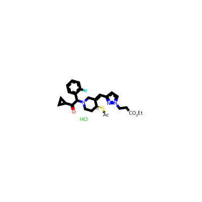 CCOC(=O)CCn1ccc(C=C2CN(C(C(=O)C3CC3)c3ccccc3F)CC[C@@H]2SC(C)=O)n1.Cl